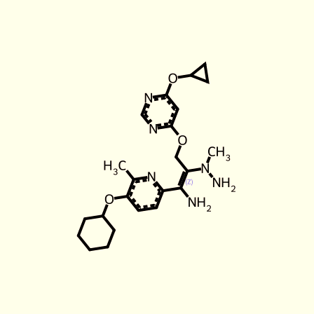 Cc1nc(/C(N)=C(\COc2cc(OC3CC3)ncn2)N(C)N)ccc1OC1CCCCC1